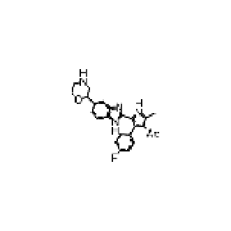 CC(=O)c1c(C)[nH]c(-c2nc3cc(C4CNCCO4)ccc3[nH]2)c1-c1ccc(F)cc1